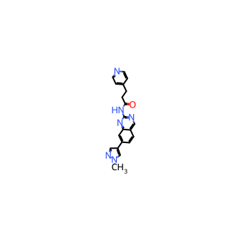 Cn1cc(-c2ccc3cnc(NC(=O)CCc4ccncc4)nc3c2)cn1